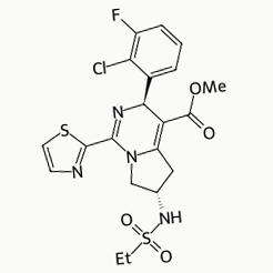 CCS(=O)(=O)N[C@H]1CC2=C(C(=O)OC)[C@H](c3cccc(F)c3Cl)N=C(c3nccs3)N2C1